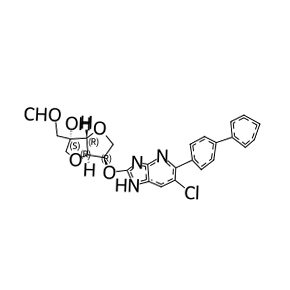 O=CC[C@]1(O)CO[C@H]2[C@H]1OC[C@H]2Oc1nc2nc(-c3ccc(-c4ccccc4)cc3)c(Cl)cc2[nH]1